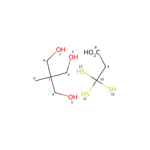 CC(CO)(CO)CO.O=C(O)CC(S)(S)S